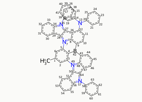 Cc1cc2c3c(c1)-n1c4c(ccc(N(c5ccccc5)c5ccccc5)c4c4c1c1ccccc1n4-c1ccccc1)B3c1cccc3c1n-2c1c2ccccc2n(-c2ccccc2)c31